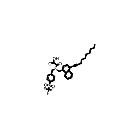 CCCCCCCCC#Cc1ccc(CN(Cc2ccc(S(=O)(=O)C(F)(F)F)cc2)C(=O)C(=O)O)c2ccccc12